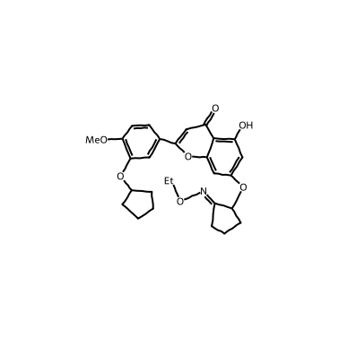 CCON=C1CCCC1Oc1cc(O)c2c(=O)cc(-c3ccc(OC)c(OC4CCCC4)c3)oc2c1